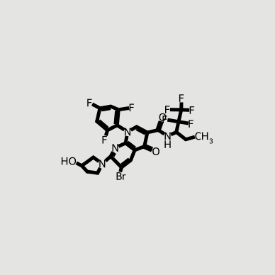 CCC(NC(=O)c1cn(-c2c(F)cc(F)cc2F)c2nc(N3CCC(O)C3)c(Br)cc2c1=O)C(F)(F)C(F)(F)F